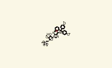 COc1ccc(C(Nc2ncnc3c2ncn3[C@@H]2O[C@H](CCP(=O)(OC)OC)[C@@H](OC)[C@H]2O)(c2ccccc2)c2ccc(OC)cc2)cc1